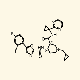 O=C(N[C@H]1CCN(CC2CC2)C[C@@H]1C(=O)NC1(c2ncccn2)CC1)c1ncc(-c2ccc(F)cc2F)o1